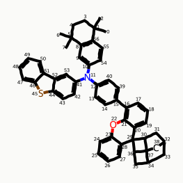 CC1(C)CCC(C)(C)c2cc(N(c3ccc(-c4cccc5c4Oc4ccccc4C54C5CC6CC7CC4C75C6)cc3)c3ccc4sc5ccccc5c4c3)ccc21